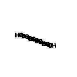 OCOCCOCCOCCOCCOCCOCCOCCOCO